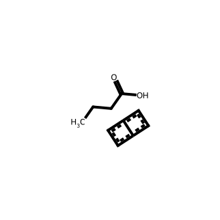 CCCC(=O)O.c1cc2ccc1-2